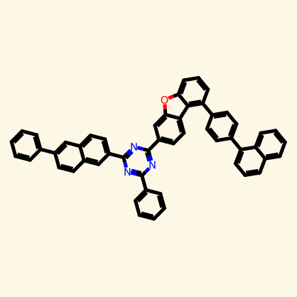 c1ccc(-c2ccc3cc(-c4nc(-c5ccccc5)nc(-c5ccc6c(c5)oc5cccc(-c7ccc(-c8cccc9ccccc89)cc7)c56)n4)ccc3c2)cc1